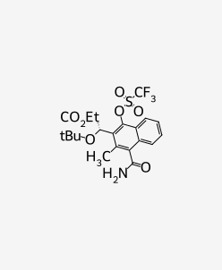 CCOC(=O)[C@@H](OC(C)(C)C)c1c(C)c(C(N)=O)c2ccccc2c1OS(=O)(=O)C(F)(F)F